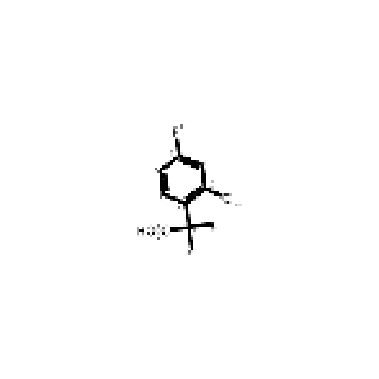 CC(C)(C(=O)O)c1ccc(F)cc1Cl